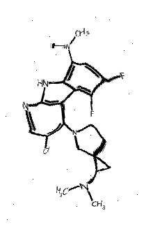 CNc1cc(F)c(F)c2c1[nH]c1ncc(Cl)c(N3CCC4(CC4N(C)C)C3)c12